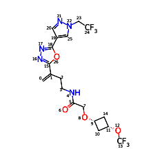 C=C(CCNC(=O)CO[C@H]1C[C@@H](OC(F)(F)F)C1)c1nnc(-c2cnn(CC(F)(F)F)c2)o1